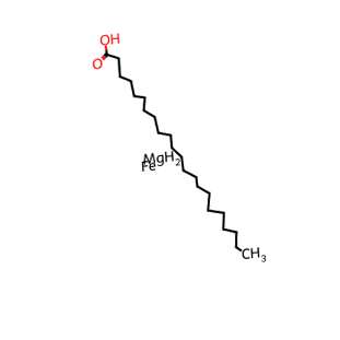 CCCCCCCCCCCCCCCCCCCCCC(=O)O.[Fe].[MgH2]